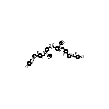 O=C(OC(=O)c1ccc2nc(Cc3cc(F)c(-c4cccc(OCc5ccc(Cl)cc5F)n4)cc3F)n(C34COCC(C3)C4)c2c1)c1ccc2nc(Cc3cc(F)c(-c4cccc(OCc5ccc(Cl)cc5F)n4)cc3F)n(C34COCC(C3)C4)c2c1